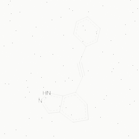 C(#Cc1cccc2cn[nH]c12)c1ccccc1